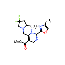 COC(=O)C1=C(CN2CC(F)(F)CC2C(=O)O)NC(c2nc(C)co2)=NC1